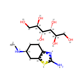 CCCN[C@H]1CCc2nc(N)sc2C1.OC[C@@H](O)[C@@H](O)[C@H](O)[C@H](O)CO